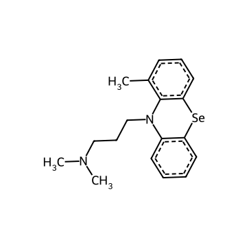 Cc1cccc2c1N(CCCN(C)C)c1ccccc1[Se]2